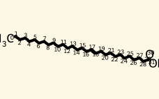 CCCCCCCCCCCCCCCCCC=CCCCCCCCCCCC(=O)O